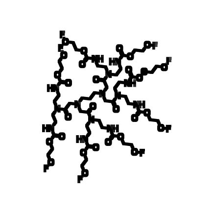 O=C(NCCN(CCNC(=O)OCCOF)C(=O)CN(CCCN(CC(=O)N(CCNC(=O)OCCOF)CCNC(=O)OCCOF)CC(=O)N(CCNC(=O)OCCOF)CCNC(=O)OOCCOF)CC(=O)N(CCNC(=O)OCCOF)CCNC(=O)OCCOF)OCCOF